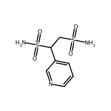 NS(=O)(=O)CC(c1cccnc1)S(N)(=O)=O